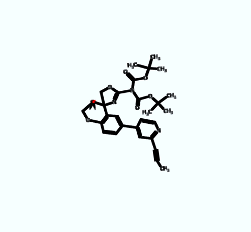 CC#Cc1cc(-c2ccc3c(c2)C2(COC(N(C(=O)OC(C)(C)C)C(=O)OC(C)(C)C)=N2)C2(COC2)CO3)ccn1